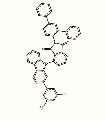 O=C1c2cccc(-n3c4ccccc4c4ccc(-c5cc(C(F)(F)F)cc(C(F)(F)F)c5)cc43)c2C(=O)N1c1ccc(-c2ccccc2)cc1-c1ccccc1